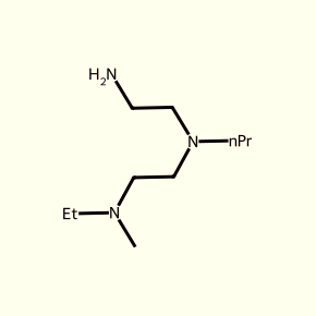 CCCN(CCN)CCN(C)CC